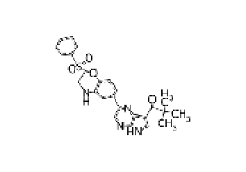 CC(C)(C)C(=O)c1c[nH]c2ncc(-c3ccc4c(c3)NCC(S(=O)(=O)c3ccccc3)O4)nc12